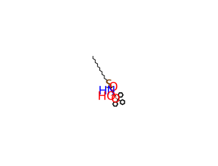 CCCCCCCCCCCCCCSCC(=O)NCC(O)COC(c1ccccc1)(c1ccccc1)c1ccccc1